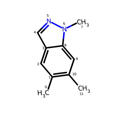 Cc1cc2cnn(C)c2cc1C